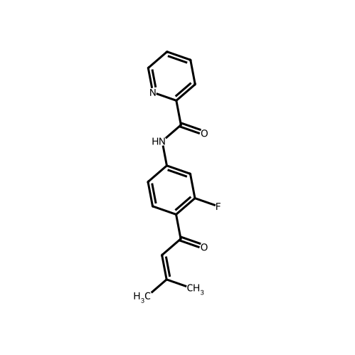 CC(C)=CC(=O)c1ccc(NC(=O)c2ccccn2)cc1F